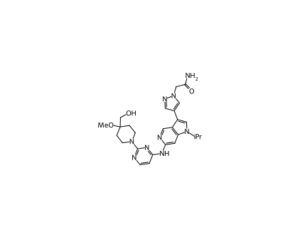 COC1(CO)CCN(c2nccc(Nc3cc4c(cn3)c(-c3cnn(CC(N)=O)c3)cn4C(C)C)n2)CC1